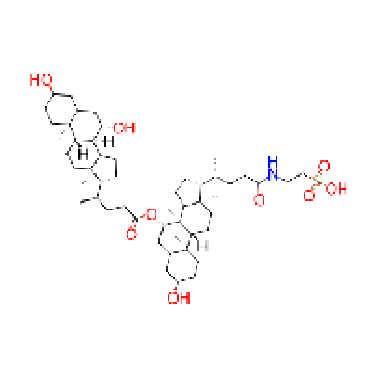 C[C@H](CCC(=O)O[C@H]1CC2C[C@H](O)CC[C@]2(C)[C@H]2CC[C@@]3(C)C(CC[C@@H]3[C@H](C)CCC(=O)NCCS(=O)(=O)O)[C@]12C)[C@H]1CCC2[C@@H]3[C@@H](O)CC4C[C@H](O)CC[C@]4(C)[C@H]3CC[C@@]21C